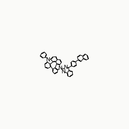 c1ccc(-n2c3cccc4c3c3c5c(ccc32)ccc2c5c3c-4cccc3n2-c2nc(-c3ccc(-c4ccc5ccccc5c4)cc3)c3ccccc3n2)cc1